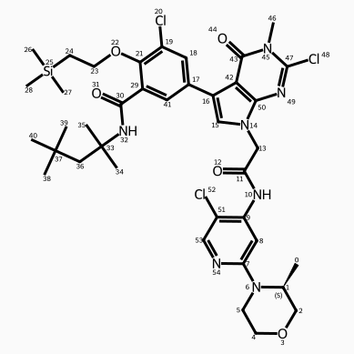 C[C@H]1COCCN1c1cc(NC(=O)Cn2cc(-c3cc(Cl)c(OCC[Si](C)(C)C)c(C(=O)NC(C)(C)CC(C)(C)C)c3)c3c(=O)n(C)c(Cl)nc32)c(Cl)cn1